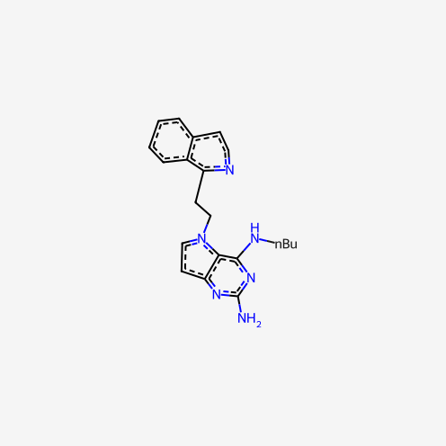 CCCCNc1nc(N)nc2ccn(CCc3nccc4ccccc34)c12